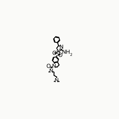 CN(C)CCCN(C)C(=O)N1CCc2cc(S(=O)(=O)N3CC(c4ccccc4)N=C3N)ccc21